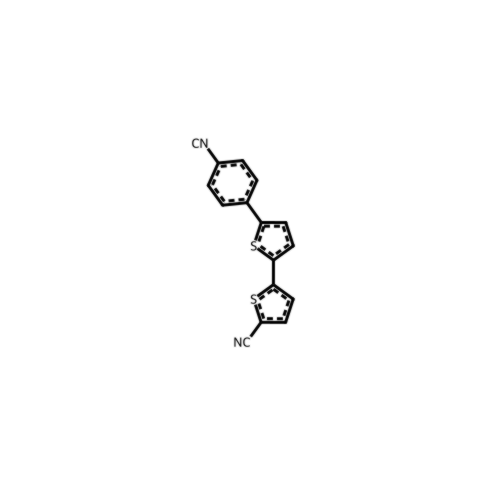 [C-]#[N+]c1ccc(-c2ccc(-c3ccc(C#N)s3)s2)cc1